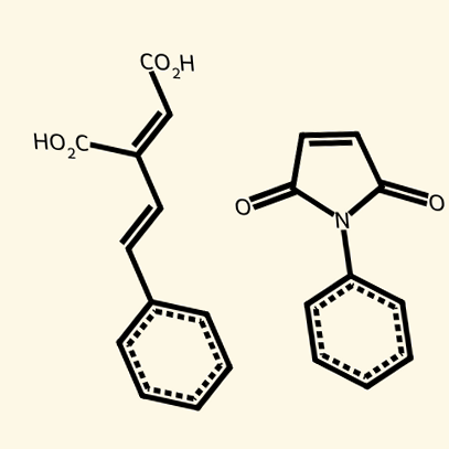 O=C(O)/C=C(/C=Cc1ccccc1)C(=O)O.O=C1C=CC(=O)N1c1ccccc1